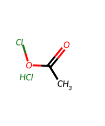 CC(=O)OCl.Cl